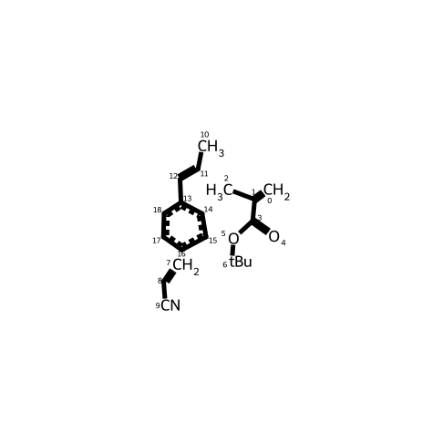 C=C(C)C(=O)OC(C)(C)C.C=CC#N.CC=Cc1ccccc1